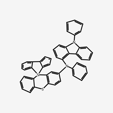 c1ccc(N(c2ccc3c(c2)[Si]2(c4ccccc4S3)c3ccccc3-c3ccccc32)c2cccc3c2c2ccccc2n3-c2ccccc2)cc1